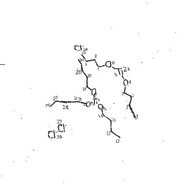 CCCC[O][Ti+2][O]CCCC.CCCC[O][Ti+]([O]CCCC)[O]CCCC.[Cl-].[Cl-].[Cl-]